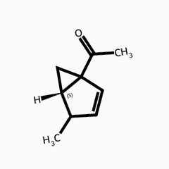 CC(=O)C12C=CC(C)[C@@H]1C2